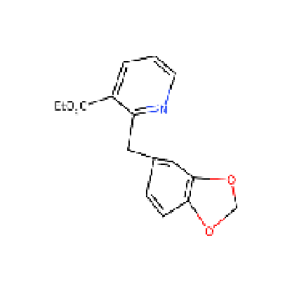 CCOC(=O)c1cccnc1Cc1ccc2c(c1)OCO2